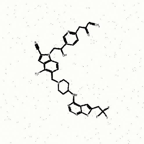 C=CC(=O)Cc1ccc(C(O)Cn2c(C#N)cc3c(C)c(CN4CCC(Nc5ncnc6sc(CC(F)(F)F)cc56)CC4)ccc32)cn1